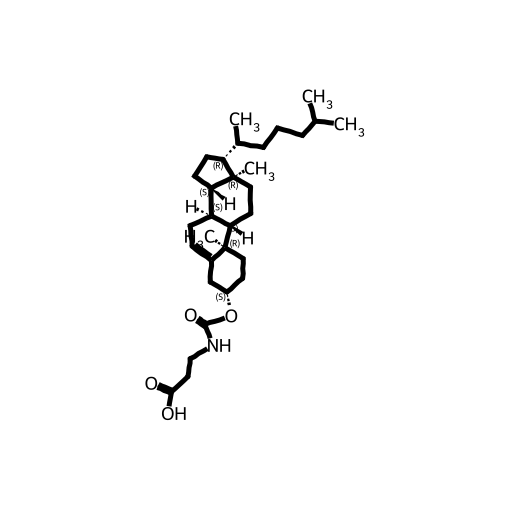 CC(C)CCCC(C)[C@H]1CC[C@H]2[C@@H]3CC=C4C[C@@H](OC(=O)NCCC(=O)O)CC[C@]4(C)[C@H]3CC[C@]12C